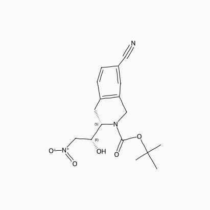 CC(C)(C)OC(=O)N1Cc2cc(C#N)ccc2C[C@H]1[C@H](O)C[N+](=O)[O-]